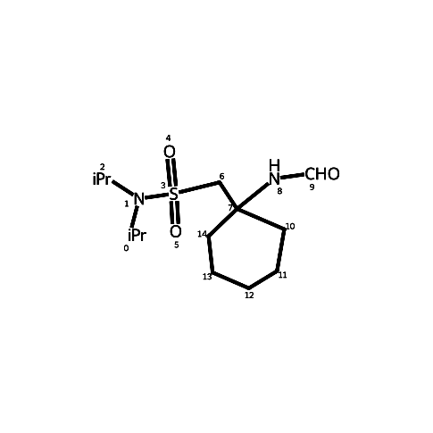 CC(C)N(C(C)C)S(=O)(=O)CC1(NC=O)CCCCC1